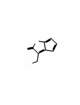 O=C1OC2=CC=CC2=C1CO